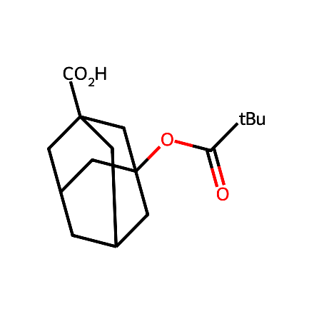 CC(C)(C)C(=O)OC12CC3CC(C1)CC(C(=O)O)(C3)C2